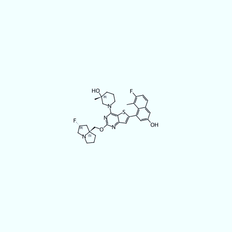 Cc1c(F)ccc2cc(O)cc(-c3cc4nc(OC[C@@]56CCCN5C[C@H](F)C6)nc(N5CCC[C@@](C)(O)C5)c4s3)c12